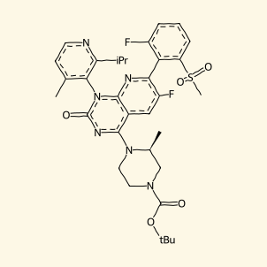 Cc1ccnc(C(C)C)c1-n1c(=O)nc(N2CCN(C(=O)OC(C)(C)C)C[C@@H]2C)c2cc(F)c(-c3c(F)cccc3S(C)(=O)=O)nc21